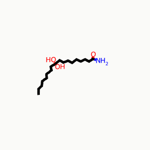 CCCCCCCCC(O)(O)CCCCCCCCC(N)=O